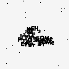 CCN(C(=O)c1cc(F)ccc1-c1cc(C2CN([C@@H](C(C)C)C(OC)OC)C2)cc2c1cnn2C)C(C)C